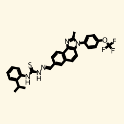 Cc1nc2c3ccc(/C=N/NC(=S)Nc4ccccc4C(C)C)cc3ccc2n1-c1ccc(OC(F)(F)F)cc1